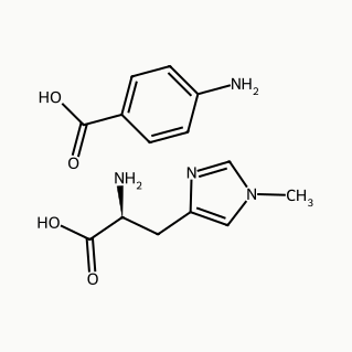 Cn1cnc(C[C@H](N)C(=O)O)c1.Nc1ccc(C(=O)O)cc1